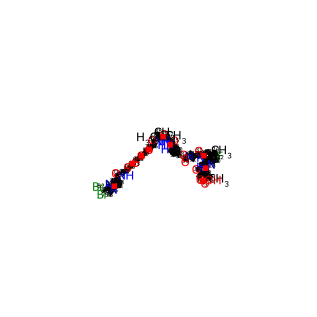 CC[C@]1(O)C(=O)OCc2c1cc1n(c2=O)Cc2c-1nc1cc(F)c(C)c3c1c2[C@H](NC(=O)C1CN(C(=O)OCc2ccc(NC(=O)[C@H](C)NC(=O)[C@@H](NC(=O)CCOCCOCCOCCOCCNC(=O)c4ccc5nc(CBr)c(CBr)nc5c4)C(C)C)cc2)C1)CC3